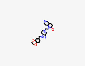 O=c1ccc2cnccc2n1CCN1CCC(NCc2ccc3c(c2)OCCO3)CC1